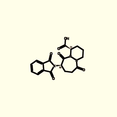 O=C(O)[C@@H]1CCCN2C(=O)CC[C@H](N3C(=O)c4ccccc4C3=O)C(=O)N12